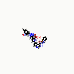 CCC1(C)CC2(N=O)CC(C)(CN/C(C)=C(\C=N)c3ccc(-c4ccc5nccc(C(=O)Nc6nc7ccccc7s6)c5c4)nc3C(=O)O)C(C)(C1)C2